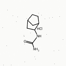 Cl.NC(=O)NC1CC2CCC1C2